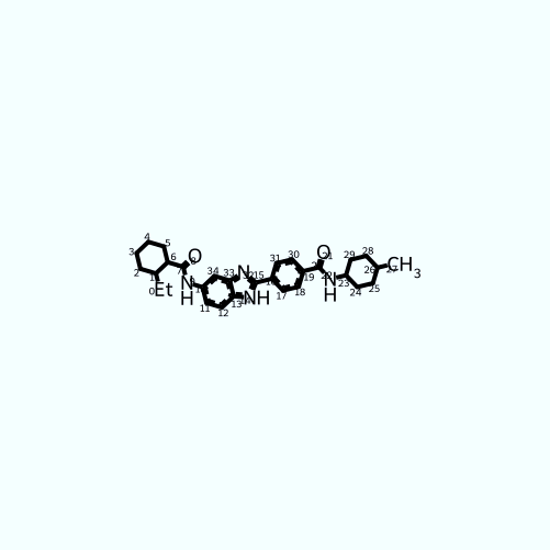 CCC1CCCCC1C(=O)Nc1ccc2[nH]c(-c3ccc(C(=O)NC4CCC(C)CC4)cc3)nc2c1